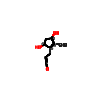 O=C=CC[C@H]1[C@@H](C=O)[C@H](O)C[C@@H]1O